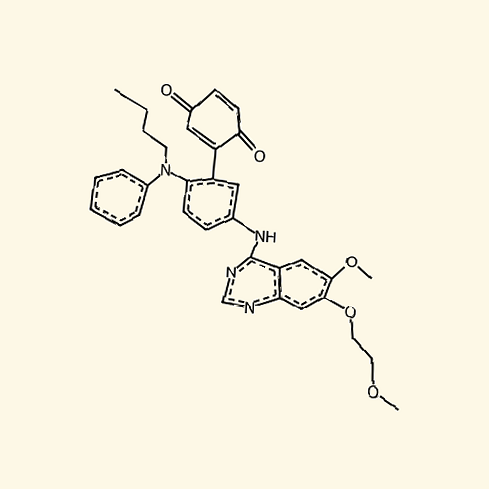 CCCCN(c1ccccc1)c1ccc(Nc2ncnc3cc(OCCOC)c(OC)cc23)cc1C1=CC(=O)C=CC1=O